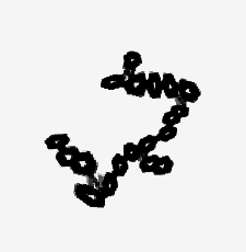 c1ccc(-c2ccc3cc(-n4c5ccccc5c5ccc(-c6ccc(-c7ccc8c9ccc(-c%10cccc(-c%11ccc%12cc(-n%13c%14ccccc%14c%14ccc(-c%15ccc(-c%16ccc%17c%18ccccc%18n(-c%18ccccc%18)c%17c%16)cc%15)cc%14%13)ccc%12c%11)c%10)cc9n(-c9ccc%10ccccc%10c9)c8c7)cc6)cc54)ccc3c2)cc1